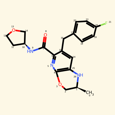 C[C@H]1COc2nc(C(=O)N[C@H]3CCOC3)c(Cc3ccc(F)cc3)cc2N1